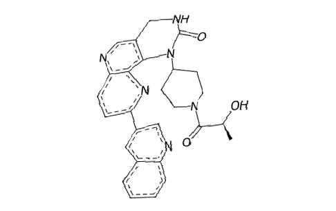 C[C@H](O)C(=O)N1CCC(N2C(=O)NCc3cnc4ccc(-c5cnc6ccccc6c5)nc4c32)CC1